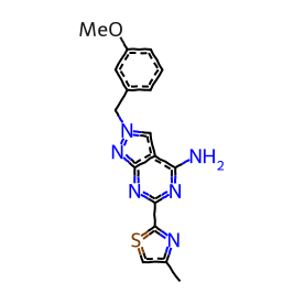 COc1cccc(Cn2cc3c(N)nc(-c4nc(C)cs4)nc3n2)c1